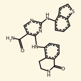 NC(=O)c1cnc(Nc2cccc3sccc23)nc1Nc1cccc2c1CCNC2=O